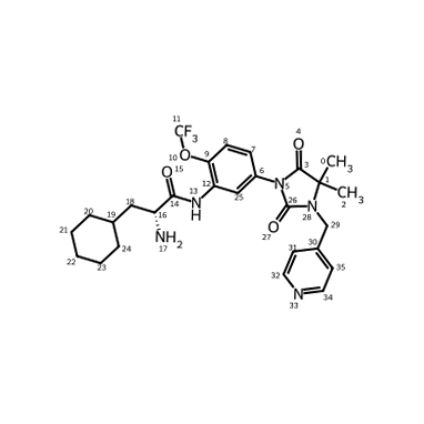 CC1(C)C(=O)N(c2ccc(OC(F)(F)F)c(NC(=O)[C@H](N)CC3CCCCC3)c2)C(=O)N1Cc1ccncc1